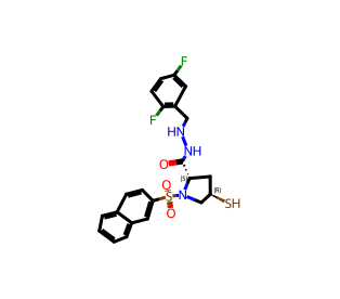 O=C(NNCc1cc(F)ccc1F)[C@@H]1C[C@@H](S)CN1S(=O)(=O)c1ccc2ccccc2c1